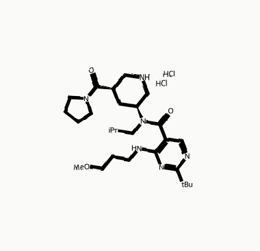 COCCCNc1nc(C(C)(C)C)ncc1C(=O)N(CC(C)C)[C@@H]1CNC[C@H](C(=O)N2CCCC2)C1.Cl.Cl